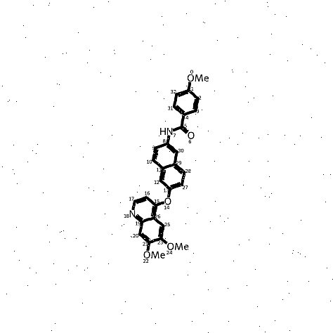 COc1ccc(C(=O)Nc2ccc3cc(Oc4ccnc5cc(OC)c(OC)cc45)ccc3c2)cc1